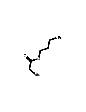 CCC(C)CC(=O)OCCCC(C)(C)C